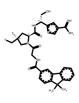 CC1(C)c2ccccc2-c2cc(C(=O)NCC(=O)N3C[C@@](F)(CF)C[C@H]3C(=O)N[C@H](CO)c3cc(C(=N)N)cs3)ccc21